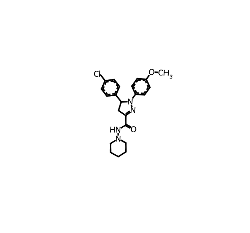 COc1ccc(N2N=C(C(=O)NN3CCCCC3)CC2c2ccc(Cl)cc2)cc1